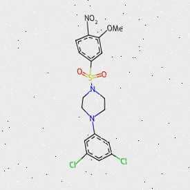 COc1cc(S(=O)(=O)N2CCN(c3cc(Cl)cc(Cl)c3)CC2)ccc1[N+](=O)[O-]